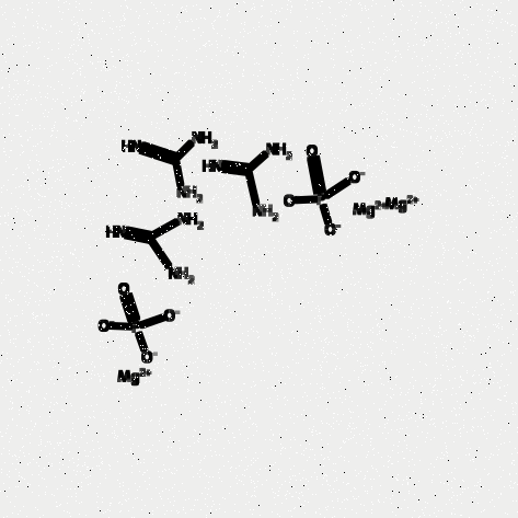 N=C(N)N.N=C(N)N.N=C(N)N.O=P([O-])([O-])[O-].O=P([O-])([O-])[O-].[Mg+2].[Mg+2].[Mg+2]